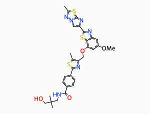 COc1cc(OCc2nc(-c3ccc(C(=O)NCC(C)(C)CO)cc3)sc2C)c2sc(-c3cn4nc(C)sc4n3)nc2c1